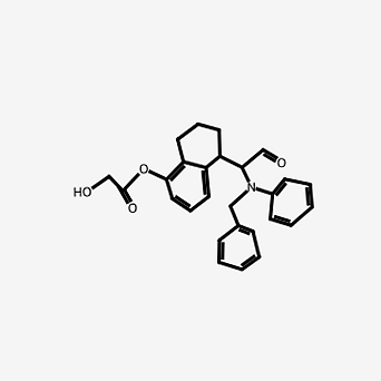 O=CC(C1CCCc2c(OC(=O)CO)cccc21)N(Cc1ccccc1)c1ccccc1